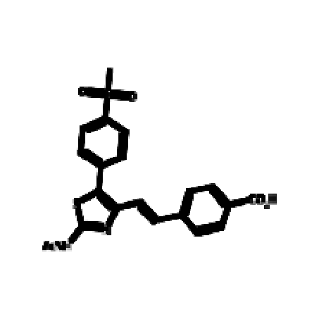 CC(=O)Nc1nc(/C=C/c2ccc(C(=O)O)cc2)c(-c2ccc(S(C)(=O)=O)cc2)s1